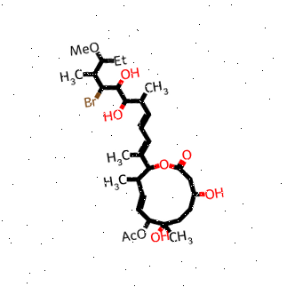 CCC(OC)C(C)C(Br)C(O)C(O)C(C)/C=C/C=C(\C)C1OC(=O)CC(O)CCC(C)(O)C(OC(C)=O)/C=C/C1C